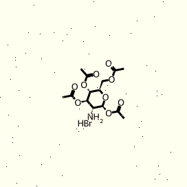 Br.CC(=O)OC[C@H]1O[C@@H](OC(C)=O)[C@H](N)[C@@H](OC(C)=O)[C@@H]1OC(C)=O